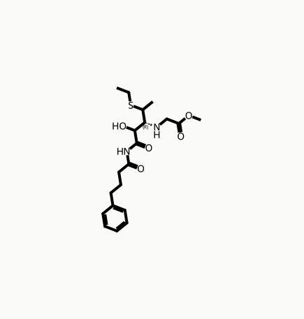 CCSC(C)[C@H](NCC(=O)OC)C(O)C(=O)NC(=O)CCCc1ccccc1